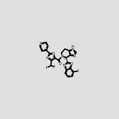 O=C(c1oc(-c2ccncc2)nc1C(F)F)N1CCc2[nH]cnc2[C@H]1c1nc2cccc(F)c2o1